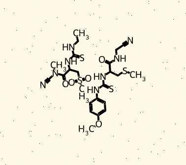 CCNC(=S)NC(CS(C)(=O)=O)C(=O)N(C)C#N.COc1ccc(NC(=S)NC(CSC)C(=O)NCC#N)cc1